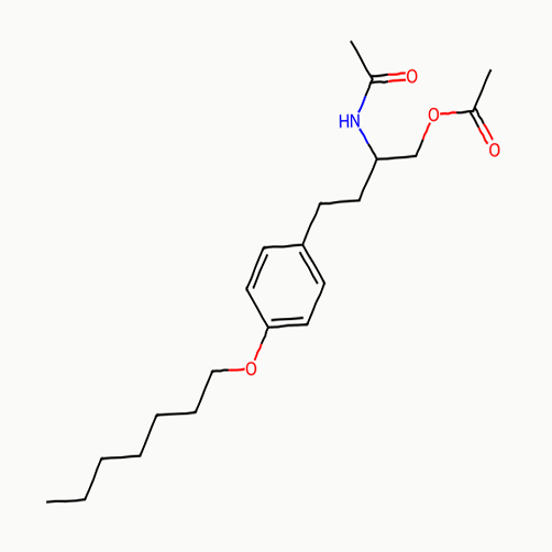 CCCCCCCOc1ccc(CCC(COC(C)=O)NC(C)=O)cc1